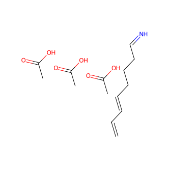 C=CC=CCCCC=N.CC(=O)O.CC(=O)O.CC(=O)O